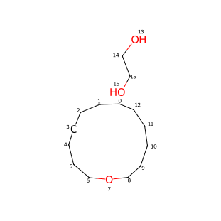 C1CCCCCCOCCCCC1.OCCO